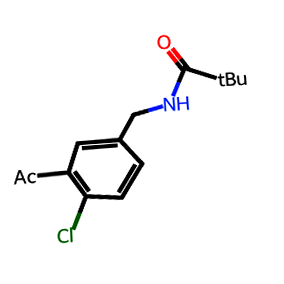 CC(=O)c1cc(CNC(=O)C(C)(C)C)ccc1Cl